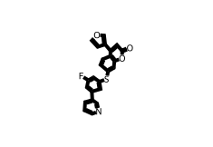 O=c1cc(-c2ccoc2)c2ccc(Sc3cc(F)cc(-c4cccnc4)c3)cc2o1